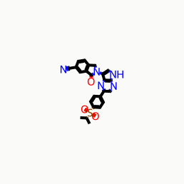 CC(C)S(=O)(=O)c1ccc(-c2cnc3[nH]cc(N4Cc5ccc(C#N)cc5C4=O)c3n2)cc1